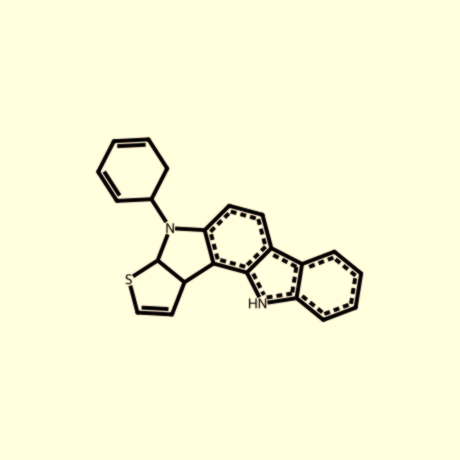 C1=CCC(N2c3ccc4c([nH]c5ccccc54)c3C3C=CSC32)C=C1